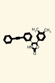 Cc1ccc([C@H]2OC(=O)N[C@@H]2c2cccc(C#Cc3ccccc3)c2)cc1C